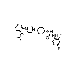 CC(C)Oc1ccccc1N1CCN([C@H]2CC[C@H](NC(=O)Nc3ccc(F)cc3F)CC2)CC1